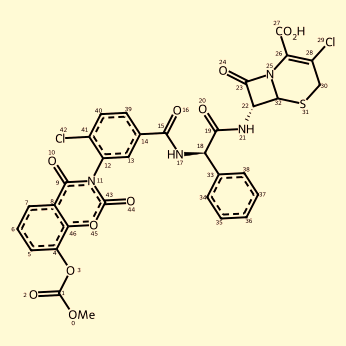 COC(=O)Oc1cccc2c(=O)n(-c3cc(C(=O)N[C@@H](C(=O)N[C@@H]4C(=O)N5C(C(=O)O)=C(Cl)CSC45)c4ccccc4)ccc3Cl)c(=O)oc12